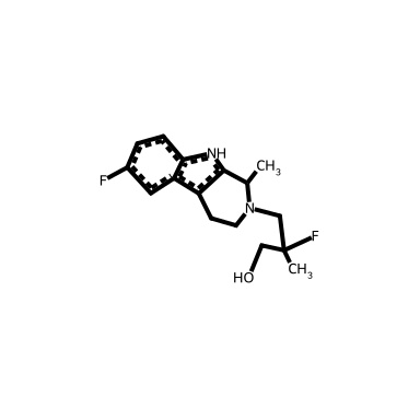 CC1c2[nH]c3ccc(F)cc3c2CCN1CC(C)(F)CO